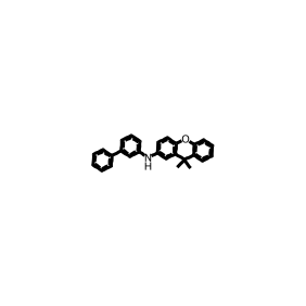 CC1(C)c2ccccc2Oc2ccc(Nc3cccc(-c4ccccc4)c3)cc21